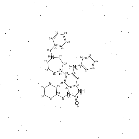 O=c1[nH]c2cc(Nc3ccccc3)c(N3CCCN(Cc4ccccc4)CC3)cc2n1CC1CCCCC1